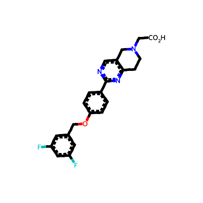 O=C(O)CN1CCc2nc(-c3ccc(OCc4cc(F)cc(F)c4)cc3)ncc2C1